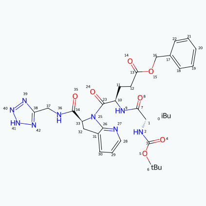 CC[C@H](C)[C@H](NC(=O)OC(C)(C)C)C(=O)N[C@H](CCC(=O)OCc1ccccc1)C(=O)N1c2ncccc2C[C@H]1C(=O)NCc1nn[nH]n1